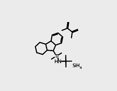 C=C(C)C(=C)C.CC(C)(C)[NH][Ti]([CH3])([CH3])[CH]1C2C=CC=CC2C2CCCCC21.[SiH4]